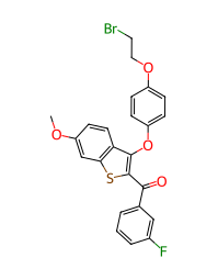 COc1ccc2c(Oc3ccc(OCCBr)cc3)c(C(=O)c3cccc(F)c3)sc2c1